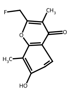 Cc1c(CF)oc2c(C)c(O)ccc2c1=O